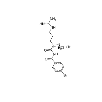 Cl.Cl.N=C(N)NCCC[C@H](N)C(=O)NC(=O)c1ccc(Br)cc1